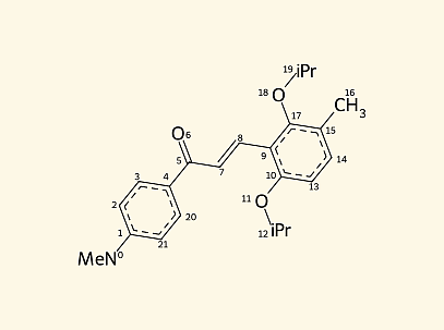 CNc1ccc(C(=O)C=Cc2c(OC(C)C)ccc(C)c2OC(C)C)cc1